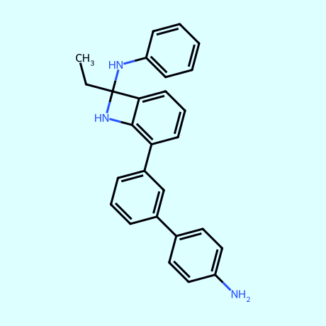 CCC1(Nc2ccccc2)Nc2c(-c3cccc(-c4ccc(N)cc4)c3)cccc21